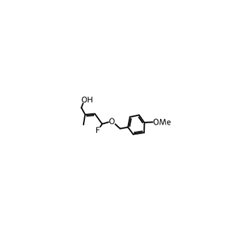 COc1ccc(COC(F)/C=C(\C)CO)cc1